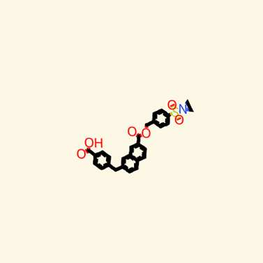 O=C(O)c1ccc(Cc2ccc3ccc(C(=O)OCc4ccc(S(=O)(=O)N5CC5)cc4)cc3c2)cc1